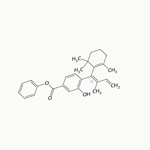 C=C/C(C)=C(\C1=C(C)CCCC1(C)C)c1ccc(C(=O)Oc2ccccc2)cc1O